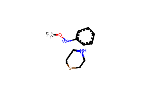 C1CSCCN1.FC(F)(F)ONc1ccccc1